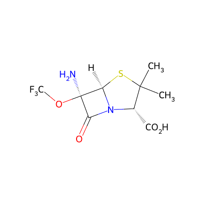 CC1(C)S[C@H]2N(C(=O)[C@@]2(N)OC(F)(F)F)[C@H]1C(=O)O